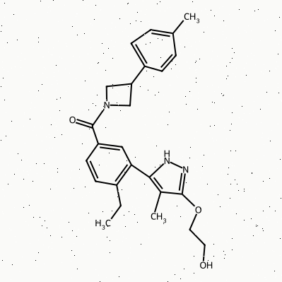 CCc1ccc(C(=O)N2CC(c3ccc(C)cc3)C2)cc1-c1[nH]nc(OCCO)c1C